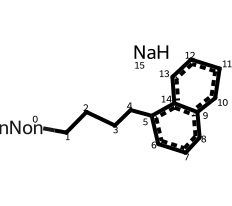 CCCCCCCCCCCCCc1cccc2ccccc12.[NaH]